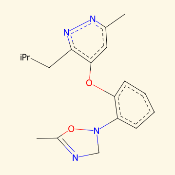 CC1=NCN(c2ccccc2Oc2cc(C)nnc2CC(C)C)O1